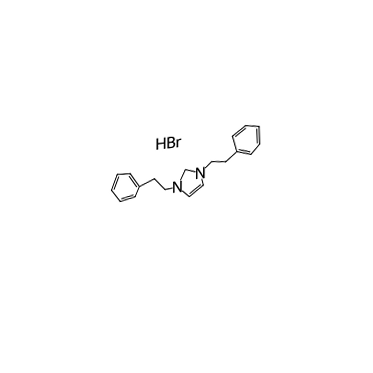 Br.C1=CN(CCc2ccccc2)CN1CCc1ccccc1